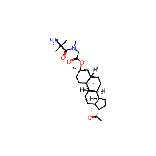 CC(=O)[C@H]1CC[C@H]2[C@@H]3CC[C@H]4C[C@](C)(OC(=O)CN(C)C(=O)C(C)(C)N)CC[C@]4(C)[C@H]3CC[C@]12C